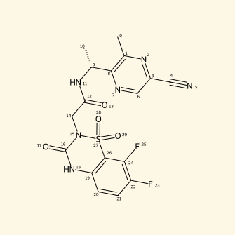 Cc1nc(C#N)cnc1[C@@H](C)NC(=O)CN1C(=O)Nc2ccc(F)c(F)c2S1(=O)=O